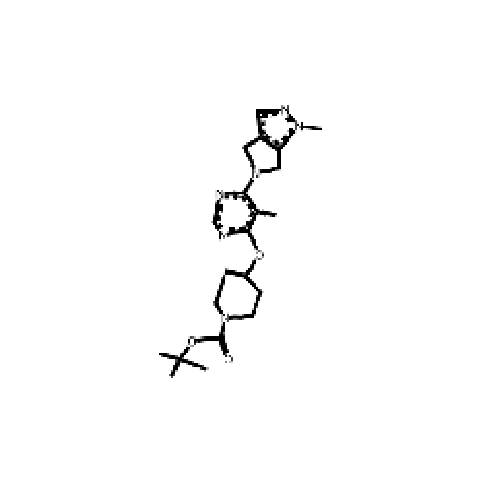 Cc1c(OC2CCN(C(=O)OC(C)(C)C)CC2)ncnc1N1Cc2cnn(C)c2C1